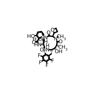 C[C@H]1NC(=O)C(C2CCO2)N(C)C(=O)[C@H](C)[C@H](O)[C@H](Cc2c(F)c(F)c(F)c(F)c2F)NC(=O)[C@H]1NC(=O)c1ncccc1O